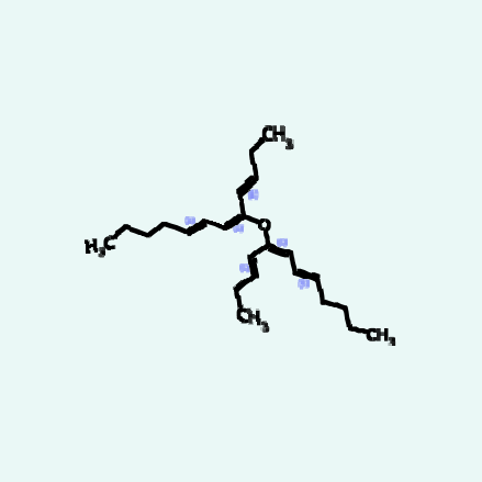 CC/C=C/C(=C\C=C\CCCC)OC(/C=C/CC)=C/C=C/CCCC